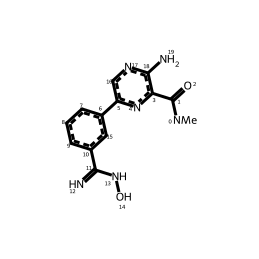 CNC(=O)c1nc(-c2cccc(C(=N)NO)c2)cnc1N